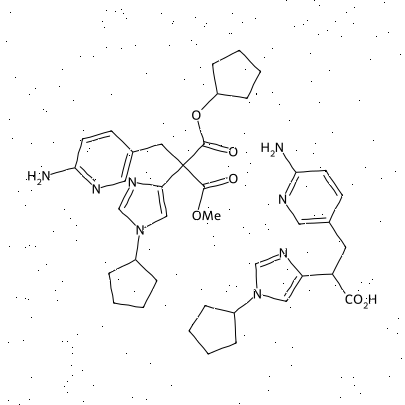 COC(=O)C(Cc1ccc(N)nc1)(C(=O)OC1CCCC1)c1cn(C2CCCC2)cn1.Nc1ccc(CC(C(=O)O)c2cn(C3CCCC3)cn2)cn1